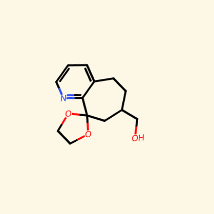 OCC1CCc2cccnc2C2(C1)OCCO2